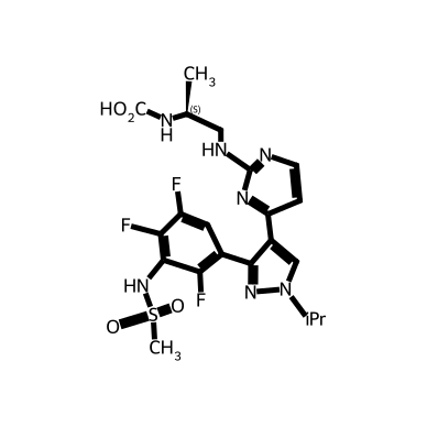 CC(C)n1cc(-c2ccnc(NC[C@H](C)NC(=O)O)n2)c(-c2cc(F)c(F)c(NS(C)(=O)=O)c2F)n1